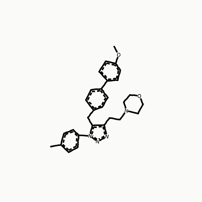 COc1ccc(-c2ccc(Cc3c(CCN4CCOCC4)nnn3-c3ccc(C)cc3)cc2)cc1